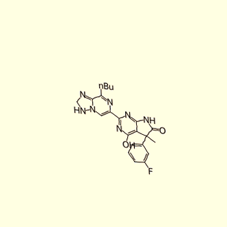 CCCCC1=NC(c2nc(O)c3c(n2)NC(=O)C3(C)c2cccc(F)c2)=CN2NCN=C12